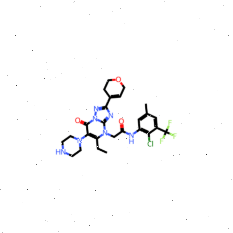 CCc1c(N2CCNCC2)c(=O)n2nc(C3=CCOCC3)nc2n1CC(=O)Nc1cc(C)cc(C(F)(F)F)c1Cl